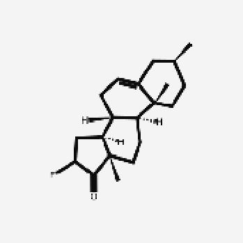 C[C@H]1CC[C@@]2(C)C(=CC[C@@H]3[C@@H]2CC[C@]2(C)C(=O)C(F)C[C@@H]32)C1